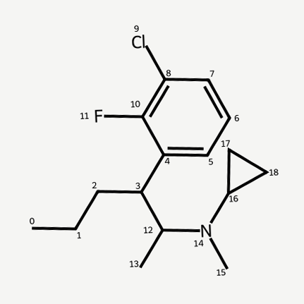 CCCC(c1cccc(Cl)c1F)C(C)N(C)C1CC1